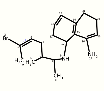 C/C(Br)=C\CC(C)C(C)NC1CC=CC2=C1C(N)=CCC2